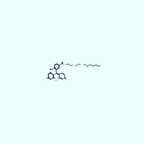 COC(=O)c1ccc(C(=O)NCCOCCOCCCCCCCl)cc1C1=C2C=CC(=N)C=C2S(C)(C)c2cc(N)ccc21